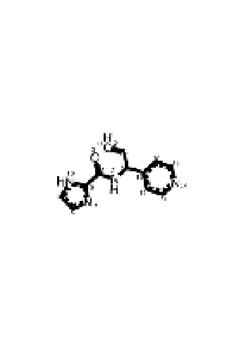 C=CC(NC(=O)c1ncc[nH]1)c1ccncc1